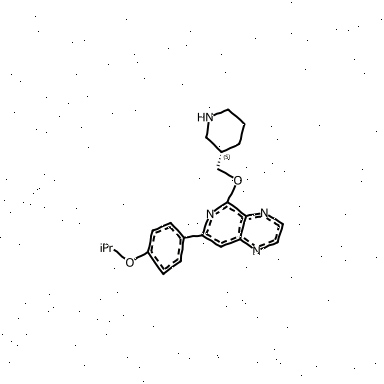 CC(C)Oc1ccc(-c2cc3nccnc3c(OC[C@H]3CCCNC3)n2)cc1